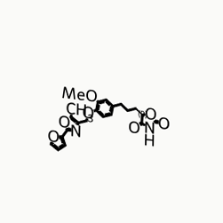 COc1cc(CCC[C@H]2OC(=O)NC2=O)ccc1OCc1nc(-c2ccco2)oc1C